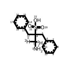 [2H]C([2H])(N)C(Cc1ccccc1)(Cc1ccccc1)S(=O)(=O)O